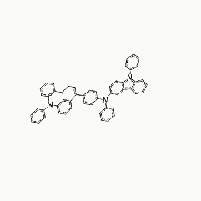 C1=C(c2ccc(N(c3ccccc3)c3ccc4c(c3)c3ccccc3n4-c3ccccc3)cc2)c2cccc3c2C(C1)c1ccccc1N3c1ccccc1